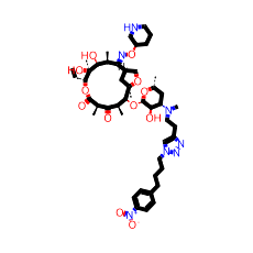 CC[C@H]1OC(=O)[C@H](C)C(=O)[C@H](C)[C@@H](O[C@@H]2O[C@H](C)C[C@H](N(C)CCc3cn(CCCCc4ccc([N+](=O)[O-])cc4)nn3)[C@H]2O)[C@@]2(C)C[C@@H](CO2)/C(=N\O[C@@H]2CCCNC2)[C@H](C)[C@@H](O)[C@]1(C)O